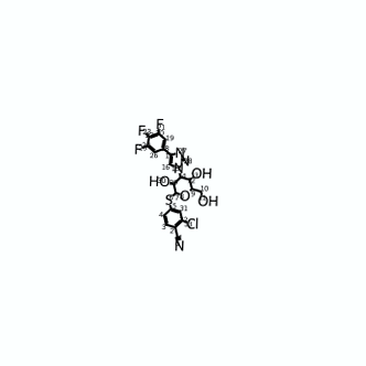 N#Cc1ccc(SC2OC(CO)C(O)C(n3cc(-c4cc(F)c(F)c(F)c4)nn3)C2O)cc1Cl